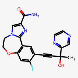 CC(O)(C#Cc1cc2c(cc1F)OCCn1cc(C(N)=O)nc1-2)c1cnccn1